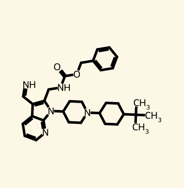 CC(C)(C)C1CCC(N2CCC(n3c(CNC(=O)OCc4ccccc4)c(C=N)c4cccnc43)CC2)CC1